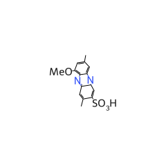 COc1cc(C)cc2nc3cc(S(=O)(=O)O)c(C)cc3nc12